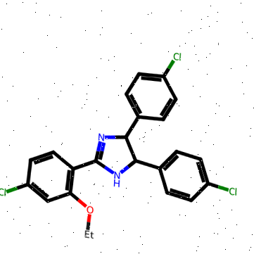 CCOc1cc(Cl)ccc1C1=NC(c2ccc(Cl)cc2)C(c2ccc(Cl)cc2)N1